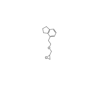 c1cc2c(c(CCOCC3CO3)c1)CCC2